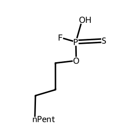 CCCCCCCCOP(O)(F)=S